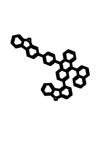 c1ccc2c(-c3c4ccccc4c(-c4ccc(-c5ccc6c(c5)oc5ccccc56)cc4)c4ccc(-c5cccc6oc7ccccc7c56)cc34)cccc2c1